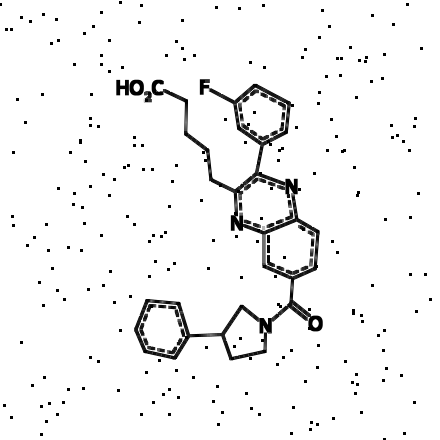 O=C(O)CCCCc1nc2cc(C(=O)N3CCC(c4ccccc4)C3)ccc2nc1-c1cccc(F)c1